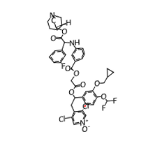 O=C(COC(=O)c1cccc(NC(C(=O)O[C@H]2CN3CCC2CC3)c2cccc(F)c2)c1)OC(Cc1c(Cl)c[n+]([O-])cc1Cl)c1ccc(OC(F)F)c(OCC2CC2)c1